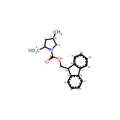 C[C@@H]1CC(C(=O)O)N(C(=O)OCC2c3ccccc3-c3ccccc32)C1